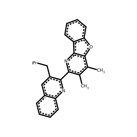 Cc1c(-c2nc3ccccc3cc2CC(C)C)nc2c(oc3ccccc32)c1C